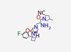 CC1CC(C#N)N(C(=O)C(N)CN2C[C@@H]3CC2C(=O)N3C2(c3ccc(F)cc3)CCC2)C1